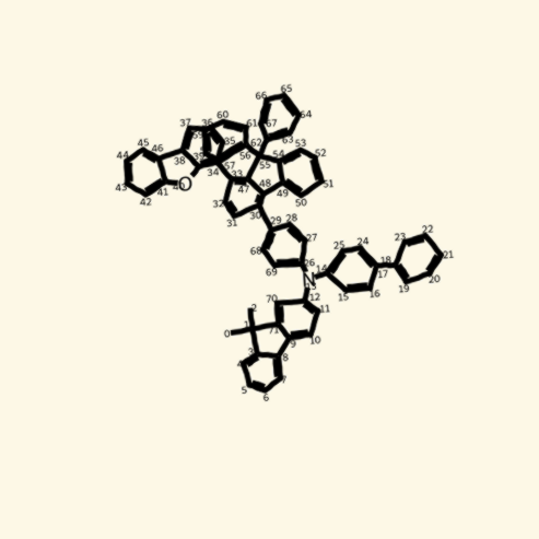 CC1(C)c2ccccc2-c2ccc(N(c3ccc(-c4ccccc4)cc3)c3ccc(-c4ccc(-c5cccc6c5oc5ccccc56)c5c4-c4ccccc4C5(c4ccccc4)c4ccccc4)cc3)cc21